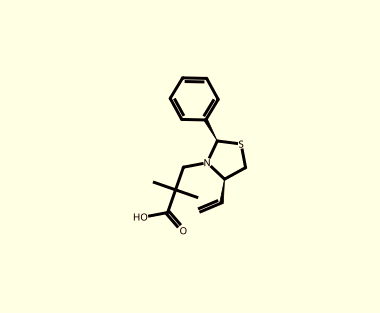 C=C[C@@H]1CS[C@H](c2ccccc2)N1CC(C)(C)C(=O)O